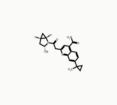 CC1(c2ccc3c(C(N)=O)cc(CC(=O)N4[C@H](C#N)C[C@@H]5C[C@@H]54)nc3c2)CC1